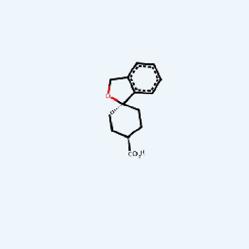 O=C(O)[C@H]1CC[C@]2(CC1)OCc1ccccc12